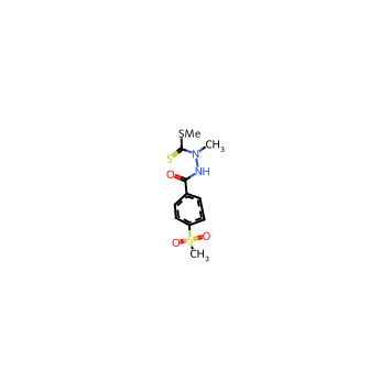 CSC(=S)N(C)NC(=O)c1ccc(S(C)(=O)=O)cc1